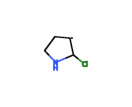 ClC1[CH]CCN1